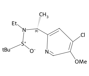 CCN([C@H](C)c1cc(Cl)c(OC)cn1)[S+]([O-])C(C)(C)C